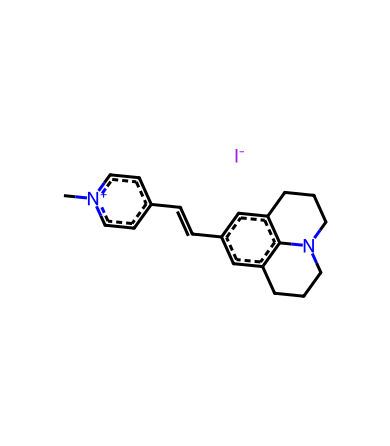 C[n+]1ccc(C=Cc2cc3c4c(c2)CCCN4CCC3)cc1.[I-]